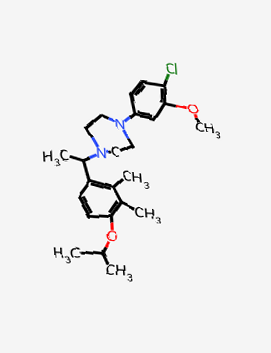 COc1cc(N2CCN(C(C)c3ccc(OC(C)C)c(C)c3C)CC2)ccc1Cl